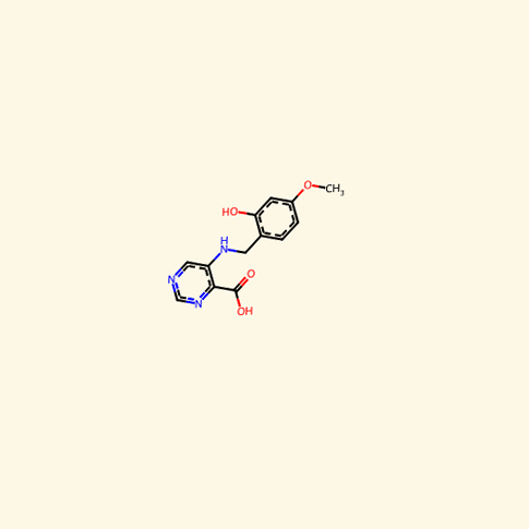 COc1ccc(CNc2cncnc2C(=O)O)c(O)c1